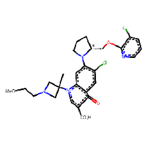 COCCN1CC(C)(n2cc(C(=O)O)c(=O)c3cc(Cl)c(N4CCC[C@@H]4COc4ncccc4Cl)cc32)C1